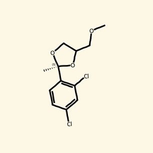 COCC1CO[C@](C)(c2ccc(Cl)cc2Cl)O1